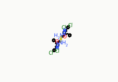 N[C@@H](CSSC[C@H](N)C(=O)N1CCn2nc(-c3ccc(Cl)cc3Cl)cc2C1CCc1ccccc1)C(=O)N1CCn2nc(-c3ccc(Cl)cc3Cl)cc2C1CCc1ccccc1